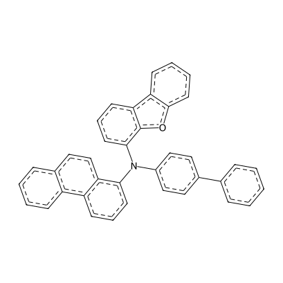 c1ccc(-c2ccc(N(c3cccc4c3ccc3ccccc34)c3cccc4c3oc3ccccc34)cc2)cc1